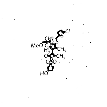 COCC(C)(C)C(=O)n1nc(C2C(=O)N(S(=O)(=O)N3CCC(O)C3)C2C)c(C)c1SCc1ccc(Cl)s1